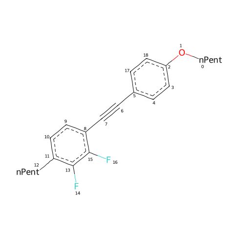 CCCCCOc1ccc(C#Cc2ccc(CCCCC)c(F)c2F)cc1